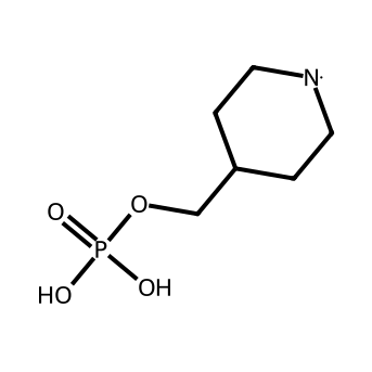 O=P(O)(O)OCC1CC[N]CC1